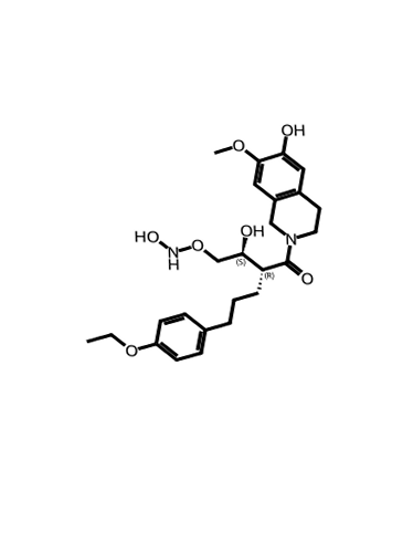 CCOc1ccc(CCC[C@@H](C(=O)N2CCc3cc(O)c(OC)cc3C2)[C@H](O)CONO)cc1